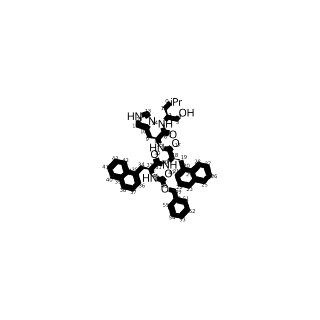 CC(C)C[C@@H](CO)NC(=O)[C@H](Cc1c[nH]cn1)NC(=O)[C@H](Cc1cccc2ccccc12)NC(=O)[C@H](Cc1cccc2ccccc12)NC(=O)OCc1ccccc1